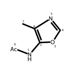 CC(=O)Nc1ocnc1C